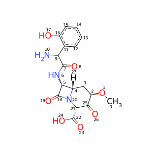 CO[C@@H]1C[C@H]2[C@H](NC(=O)C(N)c3ccccc3O)C(=O)N2[C@@H](C(=O)O)C1=O